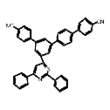 N#Cc1ccc(-c2ccc(-c3cc(-c4ccc(C#N)cc4)cc(-c4cc(-c5ccccc5)nc(-c5ccccc5)n4)c3)cc2)cc1